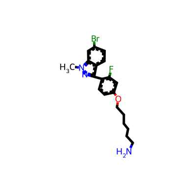 Cn1nc(-c2ccc(OCCCCCCN)cc2F)c2ccc(Br)cc21